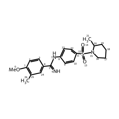 COc1ccc(C(=N)Nc2ccc(S(=O)(=O)N3CCCCC3C)cc2)cc1C